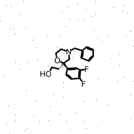 OCC[C@@]1(c2ccc(F)c(F)c2)CN(Cc2ccccc2)CCO1